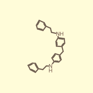 c1ccc(CCNc2ccc(Cc3ccc(NCCc4ccccc4)cc3)cc2)cc1